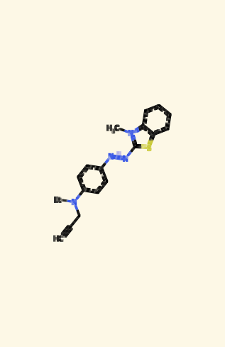 C#CCN(CC)c1ccc(/N=N/c2sc3ccccc3[n+]2C)cc1